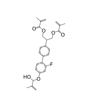 C=C(C)C(=O)OCC(COC(=O)C(=C)C)c1ccc(-c2ccc(OC(O)C(=C)C)cc2F)cc1